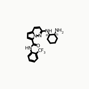 N[C@H]1CCCC[C@H]1Nc1ccc2ccc(C(=O)Nc3ccccc3C(F)(F)F)n2n1